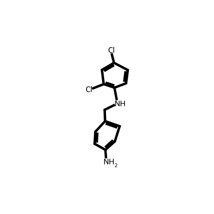 Nc1ccc(CNc2ccc(Cl)cc2Cl)cc1